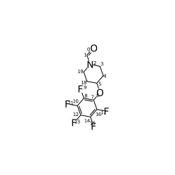 O=CN1CCC(Oc2c(F)c(F)c(F)c(F)c2F)CC1